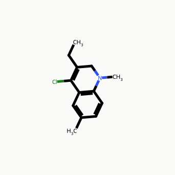 CCC1=C(Cl)c2cc(C)ccc2N(C)C1